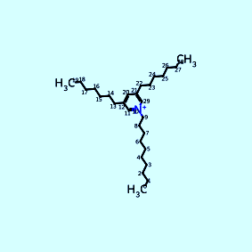 CCCCCCCCCC[n+]1cc(CCCCCCC)cc(CCCCCCC)c1